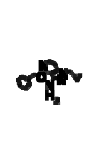 Nc1nn(CC2CC2)c2ccnc(OCc3ccccc3)c12